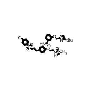 CC(C)(C)c1csc(COc2cccc(C(=O)Nc3cc(CCCS(=O)(=O)c4ccc(Cl)cc4)ccc3OCCNS(C)(=O)=O)c2)n1